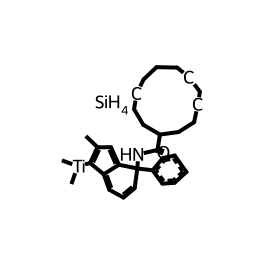 CC1=[C]([Ti]([CH3])[CH3])C2=CC=CC(NC(=O)C3CCCCCCCCCCC3)(c3ccccc3)C2=C1.[SiH4]